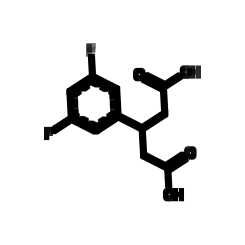 O=C(O)CC(CC(=O)O)c1cc(F)cc(F)c1